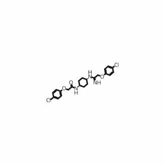 N=C(COc1ccc(Cl)cc1)N[C@H]1CC[C@H](NC(=O)COc2ccc(Cl)cc2)CC1